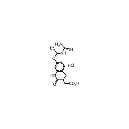 CCC(NC(=N)N)Oc1ccc2c(c1)NC(=O)C(CC(=O)O)C2.Cl